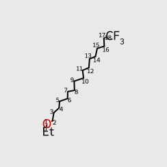 CCOCCCCCCCCCCCCCCCCC(F)(F)F